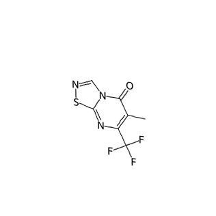 Cc1c(C(F)(F)F)nc2sncn2c1=O